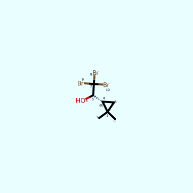 CC1(C)C[C@H]1C(O)C(Br)(Br)Br